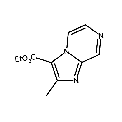 CCOC(=O)c1c(C)nc2cnccn12